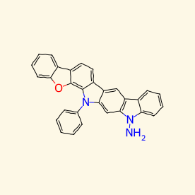 Nn1c2ccccc2c2cc3c4ccc5c6ccccc6oc5c4n(-c4ccccc4)c3cc21